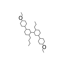 CCCCC1CCC(C2CCC(OCC)CC2)CC1C1CC(C2CCC(OCC)CC2)CCC1CCC